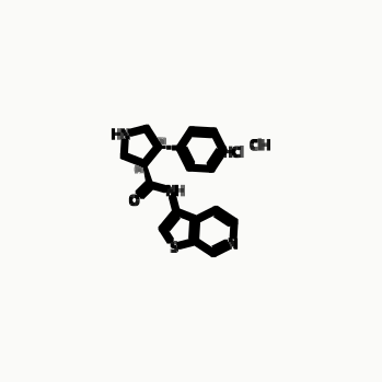 Cl.Cl.O=C(Nc1csc2cnccc12)[C@H]1CNC[C@@H]1c1ccccc1